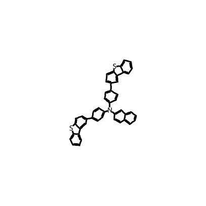 c1ccc2cc(N(c3ccc(-c4ccc5sc6ccccc6c5c4)cc3)c3ccc(-c4ccc5sc6ccccc6c5c4)cc3)ccc2c1